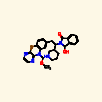 COCN1c2cc(CC([C]3[CH]CCNC3)N3C(=O)c4ccccc4C3O)ccc2Sc2nccnc21